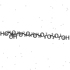 OCCOCCOCCOCCOCCOCCOCCOC(O)CO